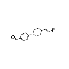 O=Cc1ccc([C@H]2CC[C@H](C=CF)CC2)cc1